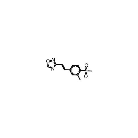 Cc1cc(C=Cc2ncon2)ccc1S(C)(=O)=O